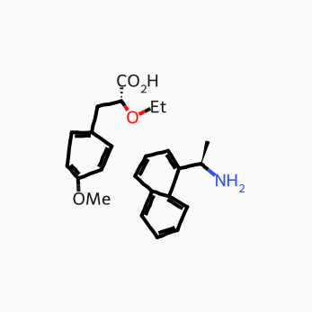 CCO[C@H](Cc1ccc(OC)cc1)C(=O)O.C[C@@H](N)c1cccc2ccccc12